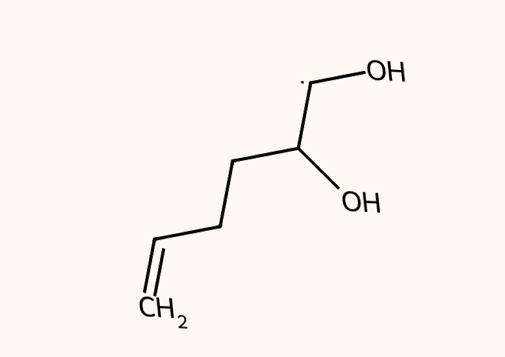 C=CCCC(O)[CH]O